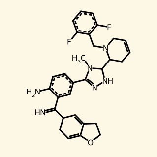 CN1C(c2ccc(N)c(C(=N)C3C=C4CCOC4=CC3)c2)=NNC1C1CC=CCN1Cc1c(F)cccc1F